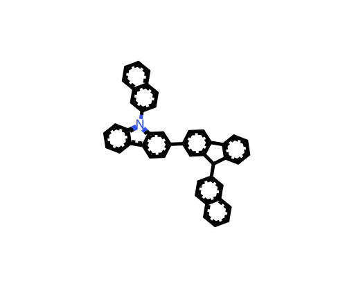 c1ccc2c(c1)-c1ccc(-c3ccc4c5ccccc5n(-c5ccc6ccccc6c5)c4c3)cc1C2c1ccc2ccccc2c1